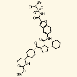 CCN(C(C)C)S(=O)(=O)NC(=O)c1cc2cc(NC(=O)[C@@H]3[C@H](C4CCCCC4)CCN3C(=O)[C@H]3CC[C@H]([C@@H](CF)NC(=O)OC(C)(C)C)CC3)ccc2o1